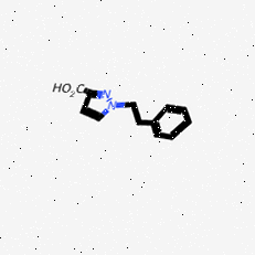 O=C(O)c1ccn(CCc2ccccc2)n1